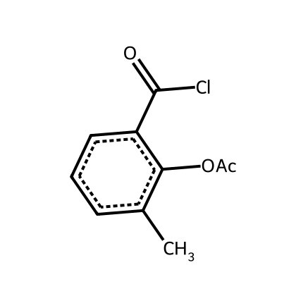 CC(=O)Oc1c(C)cccc1C(=O)Cl